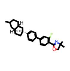 CC1CC[C@@H]2C[C@H](c3ccc(-c4ccc(C5=NC(C)(C)CO5)c(F)c4)cc3)CC[C@@H]2C1